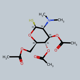 CC(=O)OC[C@H]1O[C@@H](S)[C@@H](N(C)C)[C@@H](OC(C)=O)[C@@H]1OC(C)=O